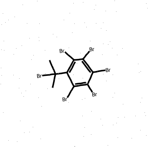 CC(C)(Br)c1c(Br)c(Br)c(Br)c(Br)c1Br